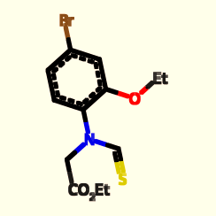 CCOC(=O)CN(C=S)c1ccc(Br)cc1OCC